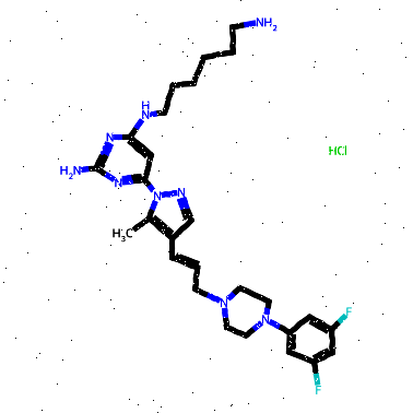 Cc1c(C=CCN2CCN(c3cc(F)cc(F)c3)CC2)cnn1-c1cc(NCCCCCCN)nc(N)n1.Cl